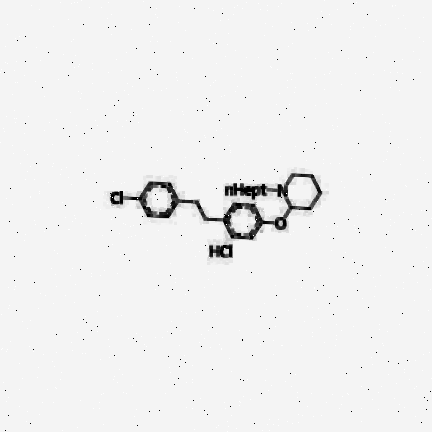 CCCCCCCN1CCCCC1Oc1ccc(CCc2ccc(Cl)cc2)cc1.Cl